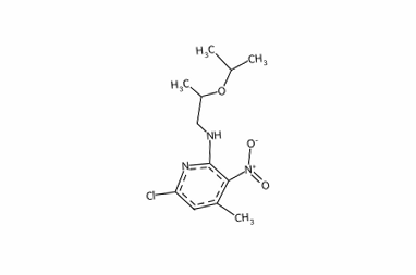 Cc1cc(Cl)nc(NCC(C)OC(C)C)c1[N+](=O)[O-]